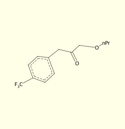 CCCOCC(=O)Cc1ccc(C(F)(F)F)cc1